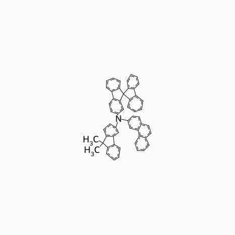 CC1(C)c2ccccc2-c2cc(N(c3ccc4c(c3)C3(c5ccccc5-c5ccccc53)c3ccccc3-4)c3ccc4ccc5ccccc5c4c3)ccc21